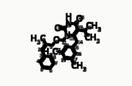 CC(=Cc1ccccc1)COCn1c(Cc2cc(C)cc(C)c2)c(C(C)C)c(=O)[nH]c1=O